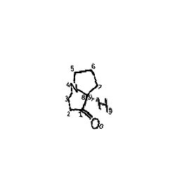 O=C1CCN2CCC[C@@H]12